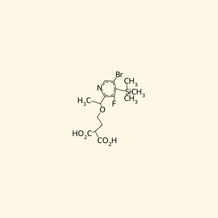 CC(OCCC(C(=O)O)C(=O)O)c1ncc(Br)c([Si](C)(C)C)c1F